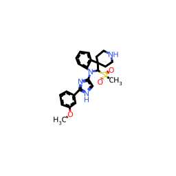 COc1cccc(-c2nc(N3c4ccccc4C4(CCNCC4)C3S(C)(=O)=O)c[nH]2)c1